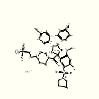 CCOc1cc(Cl)c(S(=O)(=O)N2CCCC2)cc1C1(C(=O)N2CCN(CCS(C)(=O)=O)CC2)N[C@H](c2ccc(Cl)cc2)[C@H](c2ccc(Cl)cc2)N1.Cl